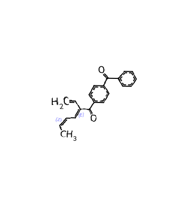 C=C/C(=C\C=C/C)C(=O)c1ccc(C(=O)c2ccccc2)cc1